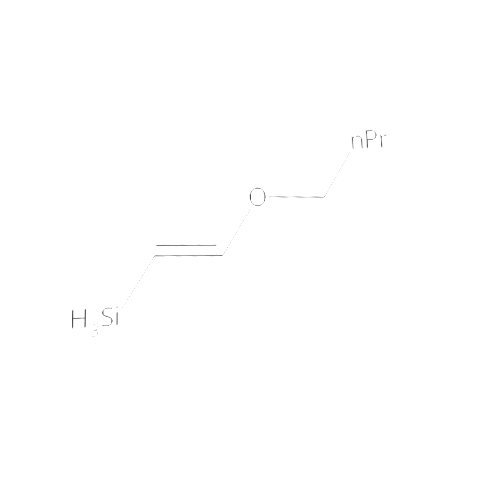 CCCCOC=C[SiH3]